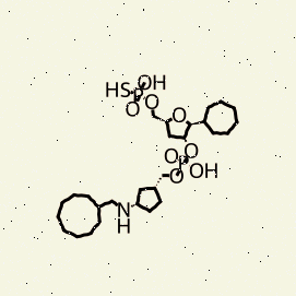 O=P(O)(S)OC[C@@H]1C[C@@H](OP(=O)(O)OC[C@@H]2CC[C@H](NCC3CCCCCCCC3)C2)[C@H](C2CCCCCC2)O1